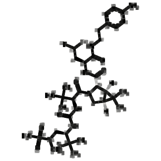 CN(C[C@@H](NC(=O)N[C@H](C(=O)N1C[C@H]2[C@@H]([C@H]1C(=O)N[C@@H](CC(F)F)C(=O)NCCc1ccc(N)cc1)C2(C)C)C(C)(C)C)C(C)(C)C)S(C)(=O)=O